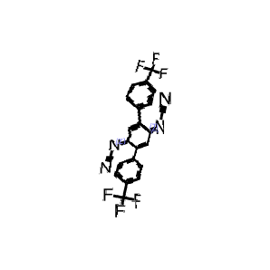 N#C/N=C1C=C(c2ccc(C(F)(F)F)cc2)/C(=N\C#N)C=C/1c1ccc(C(F)(F)F)cc1